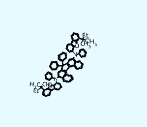 CCC(C)(C)c1cccc2c1oc1c(N(c3ccccc3)c3cc4c(c5ccccc35)-c3c(cc(N(c5ccccc5)c5cccc6c5oc5c(C(C)(C)CC)cccc56)c5ccccc35)C4(c3ccccc3)c3ccccc3)cccc12